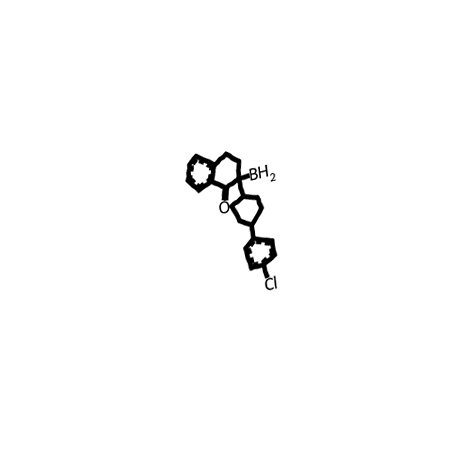 BC1(C2CCC(c3ccc(Cl)cc3)CC2)CCc2ccccc2C1=O